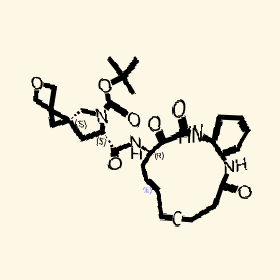 CC(C)(C)OC(=O)N1C[C@]2(C[C@H]1C(=O)N[C@@H]1C/C=C/CCCCC(=O)Nc3ccccc3NC(=O)C1=O)CC21COC1